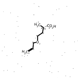 C=CCOCC[C@H](C)C(=O)O